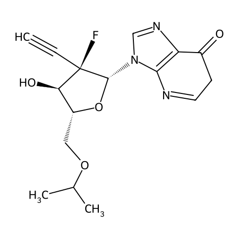 C#C[C@@]1(F)[C@H](O)[C@@H](COC(C)C)O[C@H]1n1cnc2c1N=CCC2=O